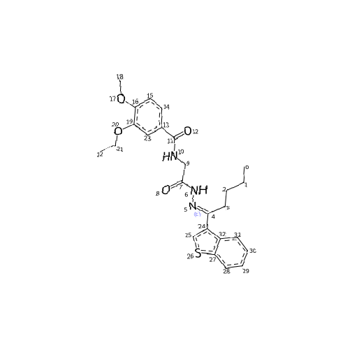 CCCC/C(=N\NC(=O)CNC(=O)c1ccc(OC)c(OCC)c1)c1csc2ccccc12